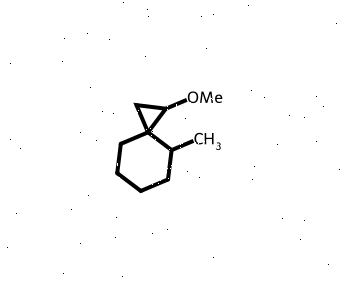 COC1CC12CCCCC2C